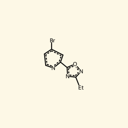 CCc1noc(-c2cc(Br)ccn2)n1